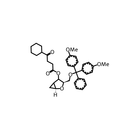 COc1ccc(C(OC[C@H]2O[C@H]3CC3C2OC(=O)CCC(=O)C2CCCCC2)(c2ccccc2)c2ccc(OC)cc2)cc1